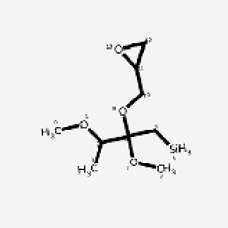 COC(C)C(C[SiH3])(OC)OCC1CO1